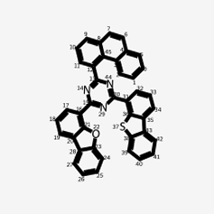 c1ccc2c(c1)ccc1cccc(-c3nc(-c4cccc5c4oc4ccccc45)nc(-c4cccc5c4sc4ccccc45)n3)c12